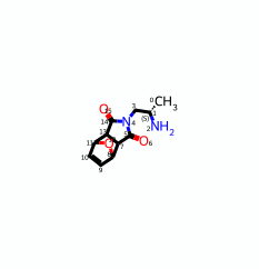 C[C@H](N)CN1C(=O)C2C3C=CC(O3)C2C1=O